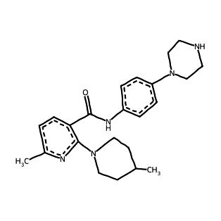 Cc1ccc(C(=O)Nc2ccc(N3CCNCC3)cc2)c(N2CCC(C)CC2)n1